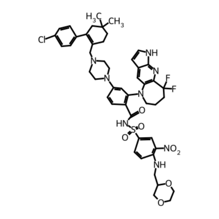 CC1(C)CCC(CN2CCN(c3ccc(C(=O)NS(=O)(=O)c4ccc(NCC5COCCO5)c([N+](=O)[O-])c4)c(N4CCCC(F)(F)c5nc6[nH]ccc6cc54)c3)CC2)=C(c2ccc(Cl)cc2)C1